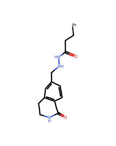 CC(C)CCC(=O)NNCc1ccc2c(c1)CCNC2=O